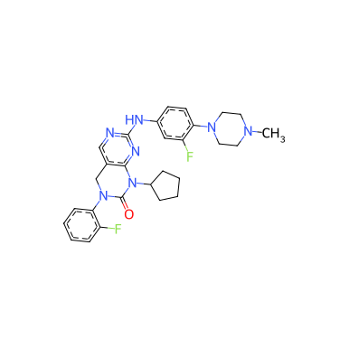 CN1CCN(c2ccc(Nc3ncc4c(n3)N(C3CCCC3)C(=O)N(c3ccccc3F)C4)cc2F)CC1